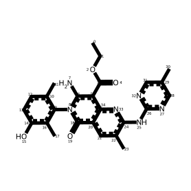 CCOC(=O)c1c(N)n(-c2c(C)ccc(O)c2C)c(=O)c2cc(C)c(Nc3ncc(C)cn3)nc12